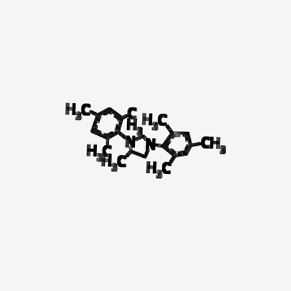 Cc1cc(C)c(N2CC(C)N(c3c(C)cc(C)cc3C)C2)c(C)c1